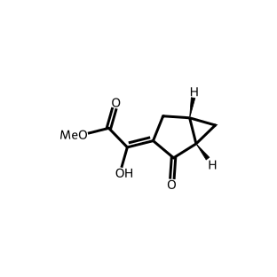 COC(=O)/C(O)=C1\C[C@@H]2C[C@@H]2C1=O